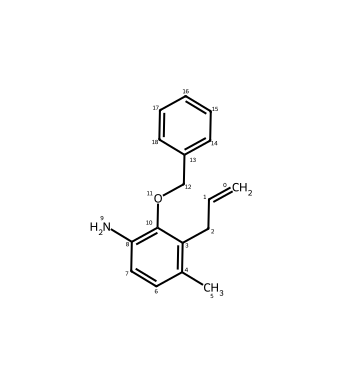 C=CCc1c(C)ccc(N)c1OCc1ccccc1